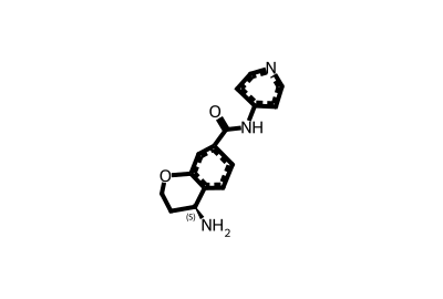 N[C@H]1CCOc2cc(C(=O)Nc3ccncc3)ccc21